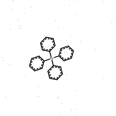 c1cc[c]([Pt-4]([c]2ccccc2)([c]2ccccc2)[c]2ccccc2)cc1